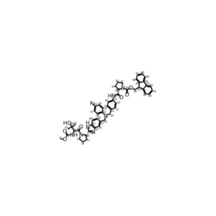 COC(=O)N[C@H](C(=O)N1CCC[C@H]1c1nc2cc(CN(Cc3ccc(NC(=O)[C@H]4CCCN4C(=O)OCC4c5ccccc5-c5ccccc54)cc3)c3ccc(F)cc3)ccc2[nH]1)C(C)(C)O